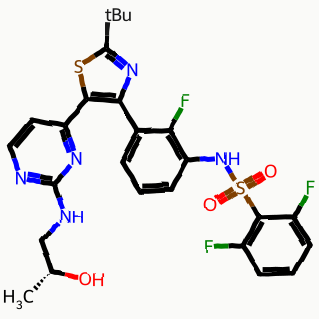 C[C@@H](O)CNc1nccc(-c2sc(C(C)(C)C)nc2-c2cccc(NS(=O)(=O)c3c(F)cccc3F)c2F)n1